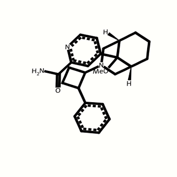 COC1(c2ccnc(C(N)=O)c2)[C@@H]2CCC[C@H]1CN(C1CCC1c1ccccc1)C2